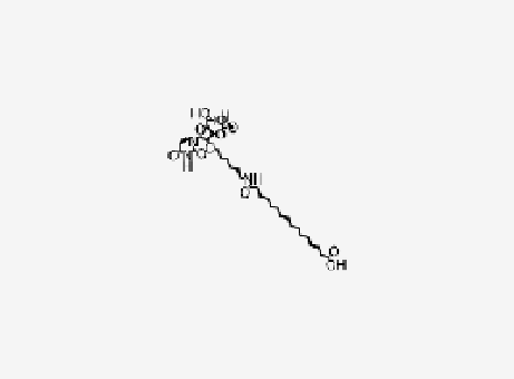 O=C(O)CCCCCCCCCCCCCCC(=O)NCCCCCCOC1C(O[PH](=O)O)[C@@H](CO)O[C@H]1n1ccc(=O)[nH]c1=O